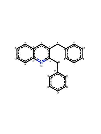 c1ccc(Cc2cc3ccccc3nc2Cc2ccccc2)cc1